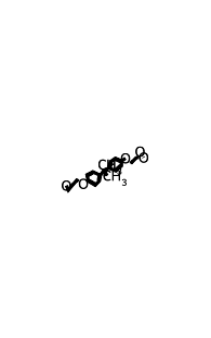 CC(C)(c1ccc(OCC2CO2)cc1)c1ccc(OCC2OO2)cc1